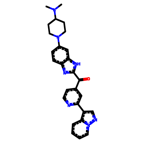 CN(C)C1CCN(c2ccc3nc(C(=O)c4ccnc(-c5cnn6ccccc56)c4)[nH]c3c2)CC1